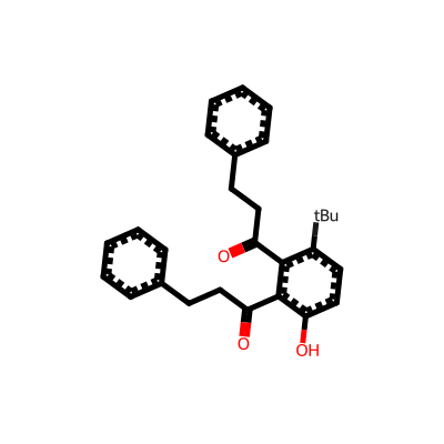 CC(C)(C)c1ccc(O)c(C(=O)CCc2ccccc2)c1C(=O)CCc1ccccc1